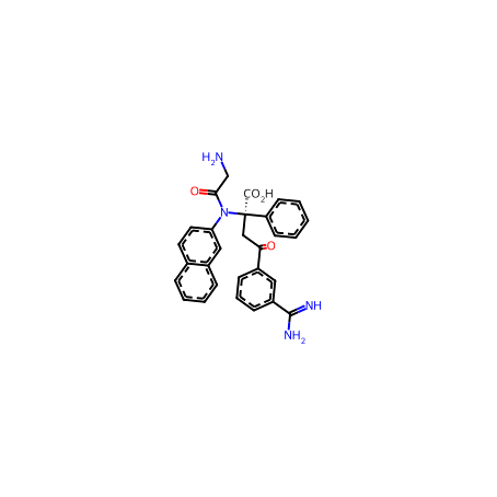 N=C(N)c1cccc(C(=O)C[C@](C(=O)O)(c2ccccc2)N(C(=O)CN)c2ccc3ccccc3c2)c1